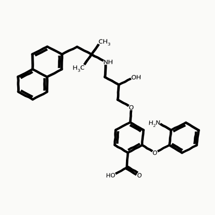 CC(C)(Cc1ccc2ccccc2c1)NCC(O)COc1ccc(C(=O)O)c(Oc2ccccc2N)c1